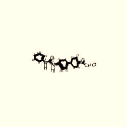 O=COC1CCC(c2ccc(NC(=O)Nc3ccccc3)cc2)CC1